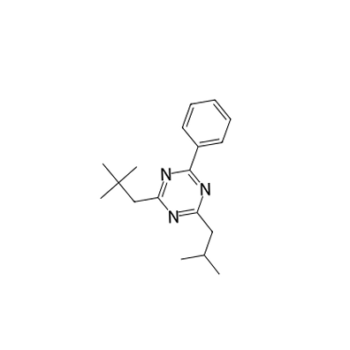 CC(C)Cc1nc(CC(C)(C)C)nc(-c2ccccc2)n1